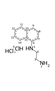 Cl.Cl.NCCNc1cccc2ccccc12